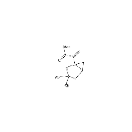 C=C(C(=O)OC)C12CC1CC(C#N)(C(C)=O)C2